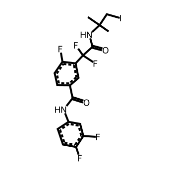 CC(C)(CI)NC(=O)C(F)(F)c1cc(C(=O)Nc2ccc(F)c(F)c2)ccc1F